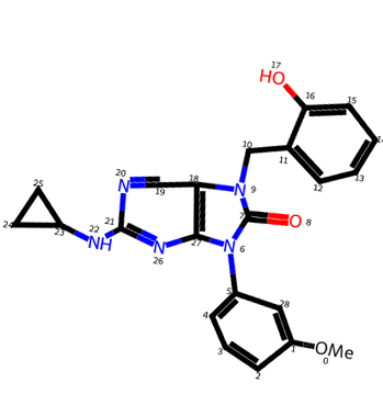 COc1cccc(-n2c(=O)n(Cc3ccccc3O)c3cnc(NC4CC4)nc32)c1